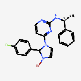 C[C@H](Nc1nccc(N2C=CN(Br)C2c2ccc(F)cc2)n1)c1ccccc1